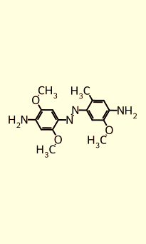 COc1cc(/N=N/c2cc(OC)c(N)cc2OC)c(C)cc1N